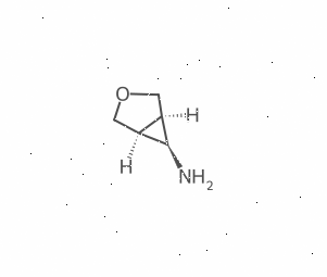 N[C@H]1[C@H]2COC[C@@H]12